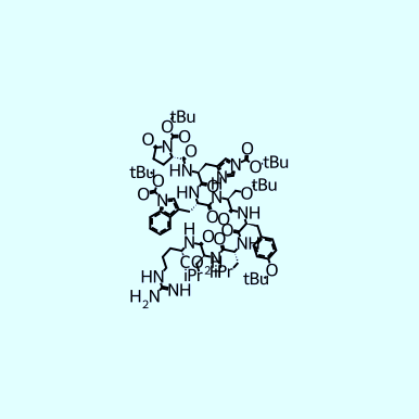 CC(C)C[C@H](NC(=O)[C@@H](CC(C)C)NC(=O)[C@H](Cc1ccc(OC(C)(C)C)cc1)NC(=O)[C@H](COC(C)(C)C)NC(=O)[C@H](Cc1cn(C(=O)OC(C)(C)C)c2ccccc12)NC(=O)[C@H](Cc1cn(C(=O)OC(C)(C)C)cn1)NC(=O)[C@@H]1CCC(=O)N1C(=O)OC(C)(C)C)C(=O)N[C@@H](CCCNC(=N)N)C(=O)O